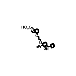 CCCc1c(OCCCOc2cccc3c2ccn3CC(=O)O)ccc2c(-c3ccccc3)noc12